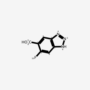 O=C(O)c1cc2nn[nH]c2cc1F